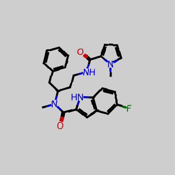 CN(C(=O)c1cc2cc(F)ccc2[nH]1)C(CCNC(=O)c1cccn1C)Cc1ccccc1